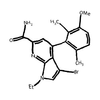 CCn1cc(Br)c2c(-c3c(C)ccc(OC)c3C)cc(C(N)=O)nc21